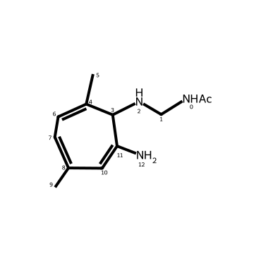 CC(=O)NCNC1C(C)=CC=C(C)C=C1N